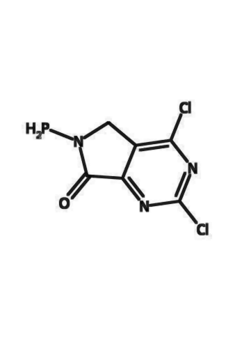 O=C1c2nc(Cl)nc(Cl)c2CN1P